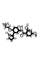 COc1ccc(C(=O)Nc2ccc(OCCN)c(-c3cccn3C)c2)c(OC)n1